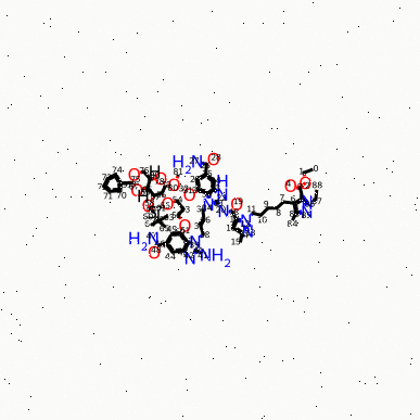 CCOC(=O)c1c(CCCCCn2nc(C)cc2C(=O)/N=c2\[nH]c3cc(C(N)=O)cc(OC)c3n2C/C=C/Cn2c(N)nc3cc(C(N)=O)cc(OCCCO[C@@H]4C(O[Si](C)(C)C(C)(C)C)[C@@H]5OC(c6ccccc6)OC[C@H]5O[C@@H]4OC)c32)c(C)nn1CC